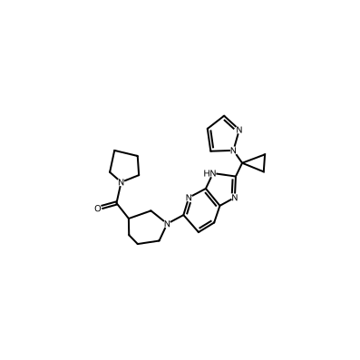 O=C(C1CCCN(c2ccc3nc(C4(n5cccn5)CC4)[nH]c3n2)C1)N1CCCC1